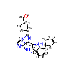 Nc1nccn2c1c(-c1cc3cccc(-c4ccccc4)c3[nH]1)nc2[C@H]1CC[C@H](C=O)CC1